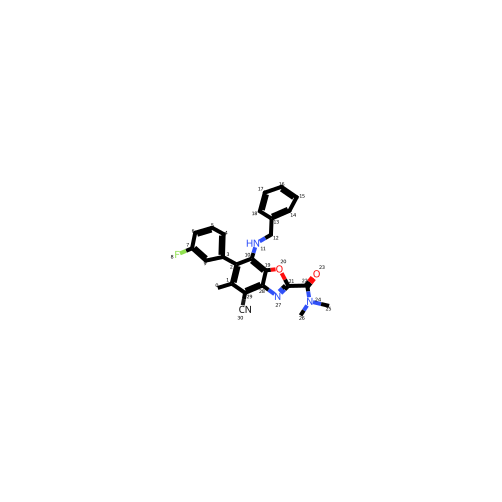 Cc1c(-c2cccc(F)c2)c(NCc2ccccc2)c2oc(C(=O)N(C)C)nc2c1C#N